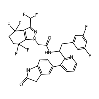 O=C1Cc2cc(-c3cccnc3C(Cc3cc(F)cc(F)c3)NC(=O)Cn3nc(C(F)F)c4c3C(F)(F)CCC4(F)F)ccc2N1